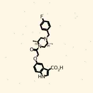 C[C@@H]1CN(C(=O)COc2ccc3[nH]cc(C(=O)O)c3c2)[C@@H](C)CN1Cc1ccc(F)cc1